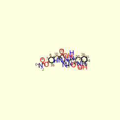 CN(C)C(=O)Oc1ccc(C[C@H](Nc2ncnc(NC(Cc3ccccc3)C(=O)NO)n2)C(=O)O)cc1